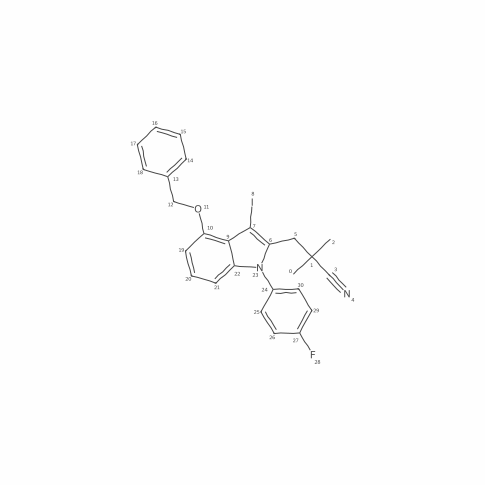 CC(C)(C#N)Cc1c(I)c2c(OCc3ccccc3)cccc2n1-c1ccc(F)cc1